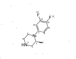 C[C@H]1CNCCN1c1ccc(F)c(F)c1